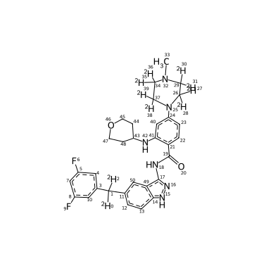 [2H]C([2H])(c1cc(F)cc(F)c1)c1ccc2[nH]nc(NC(=O)c3ccc(N4C([2H])([2H])C([2H])([2H])N(C)C([2H])([2H])C4([2H])[2H])cc3NC3CCOCC3)c2c1